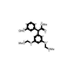 COCOc1cc(OCOC)cc(C(C(=O)OC)c2cccc(C=O)c2)c1